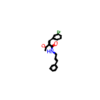 CC(=O)/C(=C/c1cccc(Br)c1)C(=O)NC/C=C/c1ccccc1